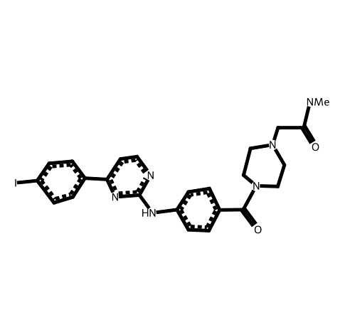 CNC(=O)CN1CCN(C(=O)c2ccc(Nc3nccc(-c4ccc(I)cc4)n3)cc2)CC1